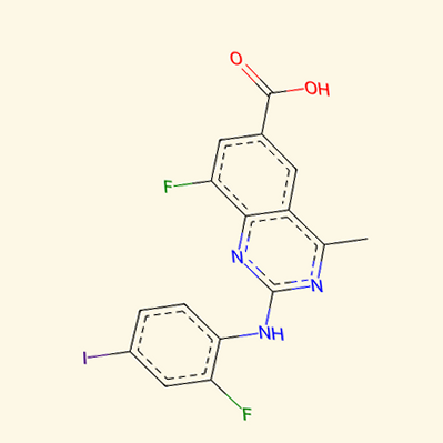 Cc1nc(Nc2ccc(I)cc2F)nc2c(F)cc(C(=O)O)cc12